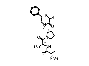 CN[C@@H](C)C(=O)N[C@H](C(=O)N1CCC[C@H]1CN(CCc1ccccc1)C(=O)C(F)F)C(C)(C)C